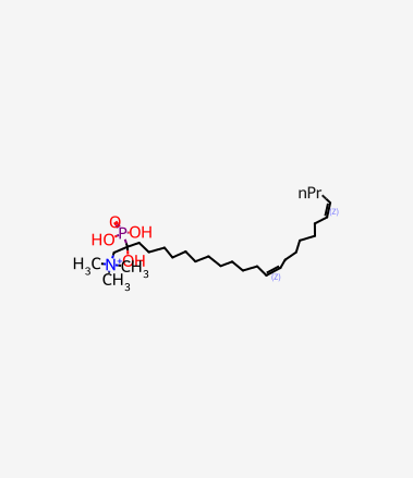 CCC/C=C\CCCCC/C=C\CCCCCCCCCCCC(O)(C[N+](C)(C)C)P(=O)(O)O